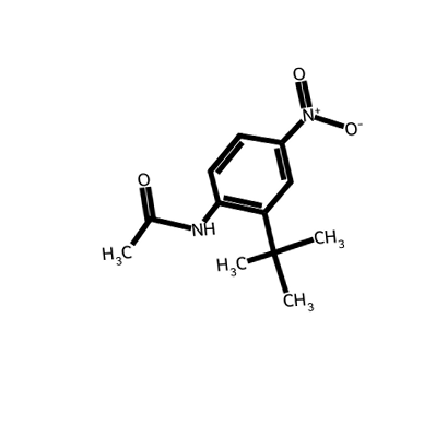 CC(=O)Nc1ccc([N+](=O)[O-])cc1C(C)(C)C